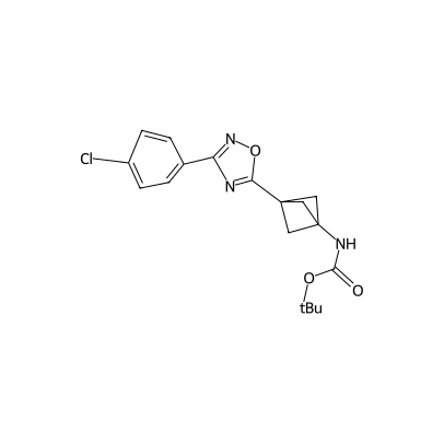 CC(C)(C)OC(=O)NC12CC(c3nc(-c4ccc(Cl)cc4)no3)(C1)C2